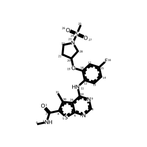 CNC(=O)c1sc2ncnc(Nc3ccc(F)cc3OC3CCN(S(C)(=O)=O)C3)c2c1C